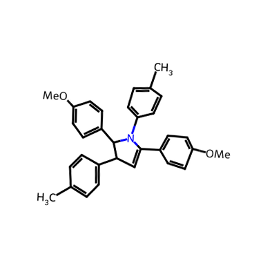 COc1ccc(C2=CC(c3ccc(C)cc3)C(c3ccc(OC)cc3)N2c2ccc(C)cc2)cc1